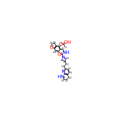 O=C(O)C[C@H](NC(=O)N1CC(CCc2ccc3c(n2)NCCC3)C1)c1ccc2c(c1)CCO2